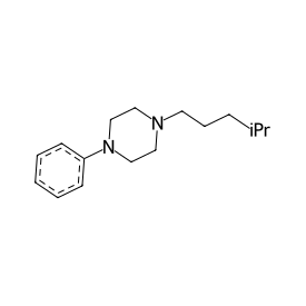 CC(C)CCCN1CCN(c2ccccc2)CC1